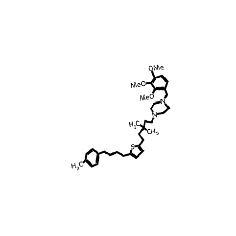 COc1ccc(CN2CCN(CCC(C)(C)CCc3ccc(CCCCc4ccc(C)cc4)s3)CC2)c(OC)c1OC